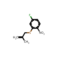 C=C(C)CSc1cc(F)ccc1[N+](=O)[O-]